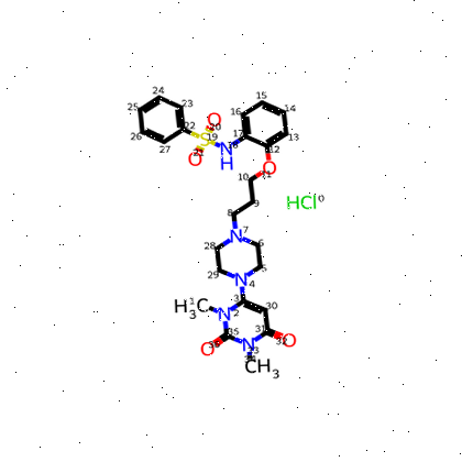 Cl.Cn1c(N2CCN(CCCOc3ccccc3NS(=O)(=O)c3ccccc3)CC2)cc(=O)n(C)c1=O